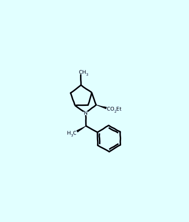 CCOC(=O)[C@@H]1C2CC(CC2C)N1[C@H](C)c1ccccc1